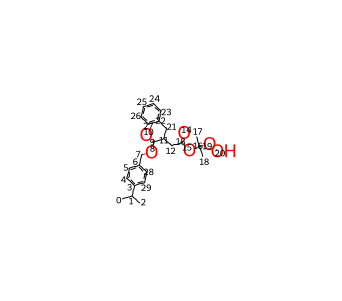 CC(C)c1ccc(COC(=O)C(CC(=O)OC(C)(C)OO)Cc2ccccc2)cc1